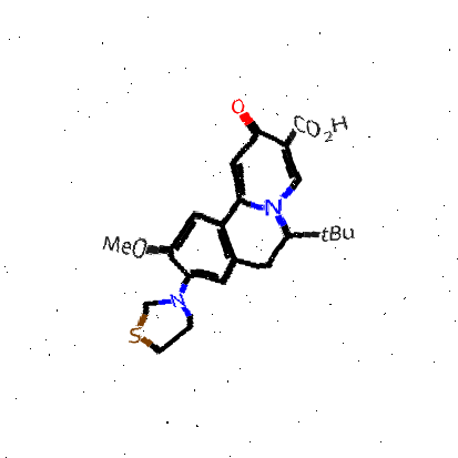 COc1cc2c(cc1N1CCSC1)CC(C(C)(C)C)n1cc(C(=O)O)c(=O)cc1-2